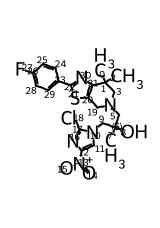 CC1(C)CN(C[C@](C)(O)Cn2cc([N+](=O)[O-])nc2Cl)Cc2sc(-c3ccc(F)cc3)nc21